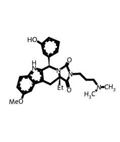 CC[C@@]12Cc3c([nH]c4ccc(OC)cc34)[C@@H](c3cccc(O)c3)N1C(=O)N(CCCN(C)C)C2=O